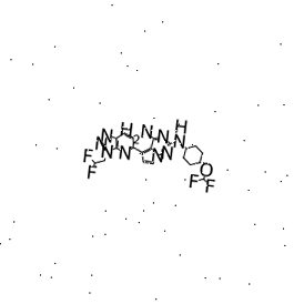 Nc1nc(N[C@H]2CC[C@@H](OC(F)F)CC2)nn2ccc(-c3ccc4nnn(CC(F)F)c4n3)c12